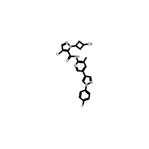 Cc1cc(-c2cnn(-c3ccc(F)cc3)c2)cnc1NC(=O)c1c(Cl)cnn1C1CC(C#N)C1